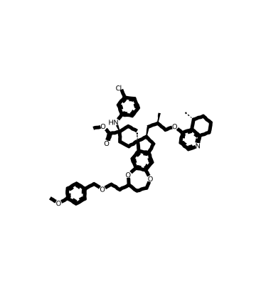 COc1ccc(COCCC2CCOc3cc4c(cc3O2)[C@]2(CC[C@@](Nc3cccc(Cl)c3)(C(=O)OC)CC2)[C@@H](C[C@@H](C)COc2ccnc3c2[C@H](C)CCC3)C4)cc1